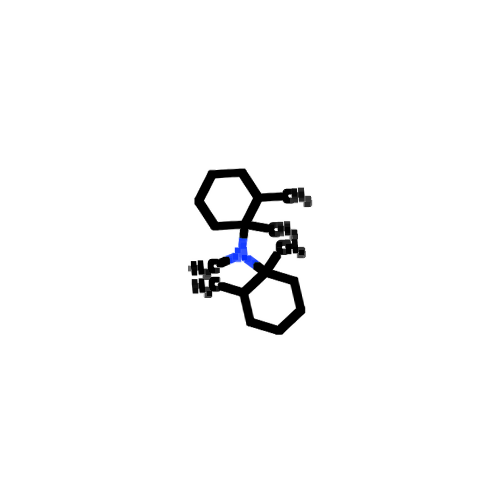 [CH2]N(C1(C)CCCCC1C)C1(C)CCCCC1C